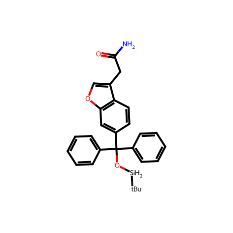 CC(C)(C)[SiH2]OC(c1ccccc1)(c1ccccc1)c1ccc2c(CC(N)=O)coc2c1